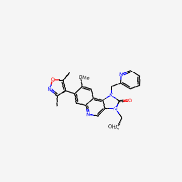 COc1cc2c(cc1-c1c(C)noc1C)ncc1c2n(Cc2ccccn2)c(=O)n1CC=O